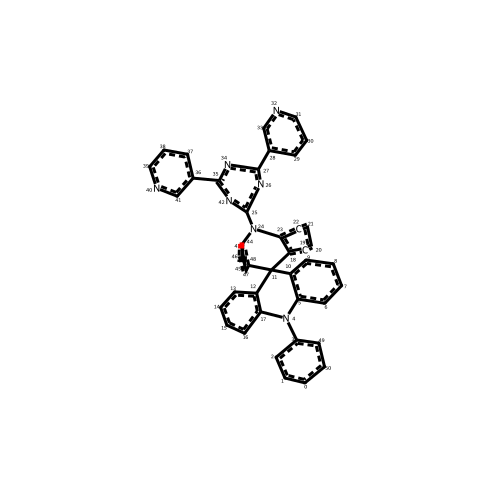 c1ccc(N2c3ccccc3C3(c4ccccc42)c2ccccc2N(c2nc(-c4cccnc4)nc(-c4cccnc4)n2)c2ccccc23)cc1